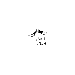 O=NO.[NaH].[NaH]